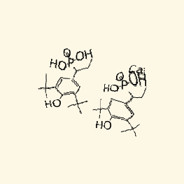 CCC(c1cc(C(C)(C)C)c(O)c(C(C)(C)C)c1)P(=O)(O)O.CCC(c1cc(C(C)(C)C)c(O)c(C(C)(C)C)c1)P(=O)(O)O.[Ca]